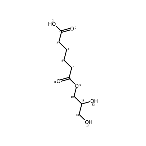 O=C(O)CCCCC(=O)OCC(O)CO